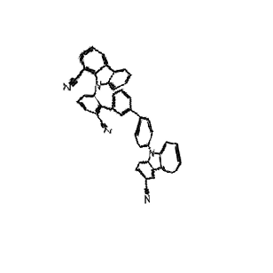 N#Cc1ccc2c(c1)c1ccccc1n2-c1ccc(-c2cccc(-c3c(C#N)cccc3-n3c4ccccc4c4cccc(C#N)c43)c2)cc1